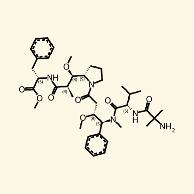 COC(=O)[C@H](Cc1ccccc1)NC(=O)[C@H](C)[C@@H](OC)[C@@H]1CCCN1C(=O)C[C@@H](OC)[C@H](c1ccccc1)N(C)C(=O)[C@@H](NC(=O)C(C)(C)N)C(C)C